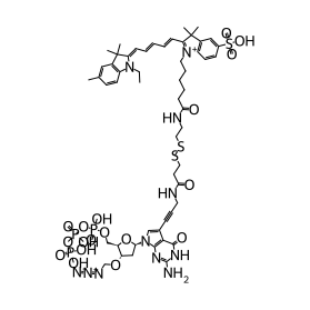 CCN1\C(=C/C=C/C=C/C2=[N+](CCCCCC(=O)NCCSSCCC(=O)NCC#Cc3cn([C@H]4C[C@H](OCN=[N+]=[N-])[C@@H](COP(=O)(O)OP(=O)(O)OP(=O)(O)O)O4)c4nc(N)[nH]c(=O)c34)c3ccc(S(=O)(=O)O)cc3C2(C)C)C(C)(C)c2cc(C)ccc21